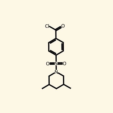 CC1CC(C)CN(S(=O)(=O)c2ccc(C(=O)Cl)cc2)C1